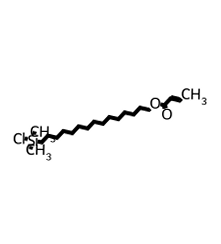 CC=CC(=O)OCCCCCCCCCCCCCCC[Si](C)(C)Cl